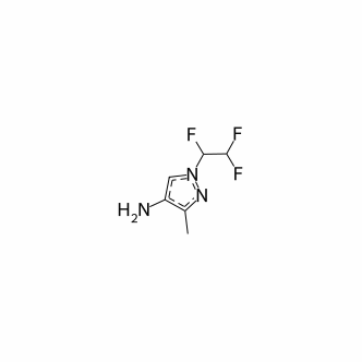 Cc1nn(C(F)C(F)F)cc1N